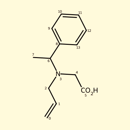 C=CCN(CC(=O)O)C(C)c1ccccc1